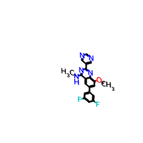 CNc1nc(-c2cncnc2)nc2c(OC)cc(-c3cc(F)cc(F)c3)cc12